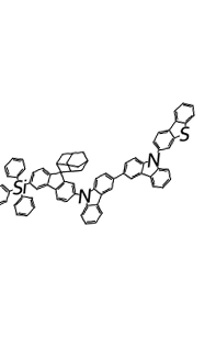 c1ccc([Si](c2ccccc2)(c2ccccc2)c2ccc3c(c2)-c2ccc(-n4c5ccccc5c5cc(-c6ccc7c(c6)c6ccccc6n7-c6ccc7c(c6)sc6ccccc67)ccc54)cc2C32C3CC4CC(C3)CC2C4)cc1